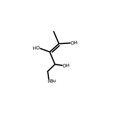 CCCCCC(O)C(O)=C(C)O